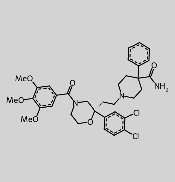 COc1cc(C(=O)N2CCO[C@](CCN3CCC(C(N)=O)(c4ccccc4)CC3)(c3ccc(Cl)c(Cl)c3)C2)cc(OC)c1OC